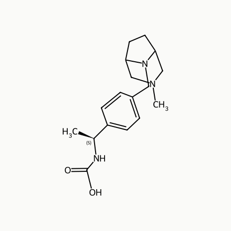 C[C@H](NC(=O)O)c1ccc(CN2C3CCC2CN(C)C3)cc1